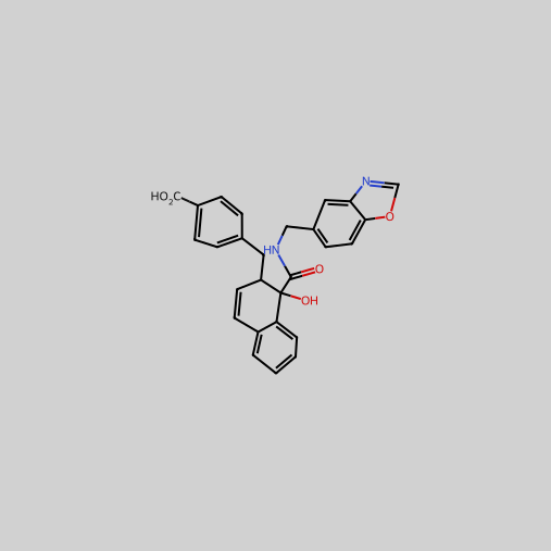 O=C(O)c1ccc(CC2C=Cc3ccccc3C2(O)C(=O)NCc2ccc3ocnc3c2)cc1